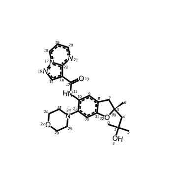 CC(C)(O)C[C@@]1(C)Cc2cc(NC(=O)c3cnn4cccnc34)c(N3CCOCC3)cc2O1